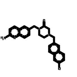 Nc1ccc2cc(CN3CCN(Cc4ccc5cc(Cl)ccc5c4)CC3=O)ccc2n1